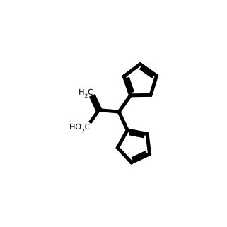 C=C(C(=O)O)C(C1=CC=CC1)C1=CC=CC1